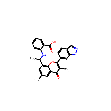 Cc1cc(C(C)Nc2ccccc2C(=O)O)c2oc(-c3ccc4cn[nH]c4c3)c(C)c(=O)c2c1